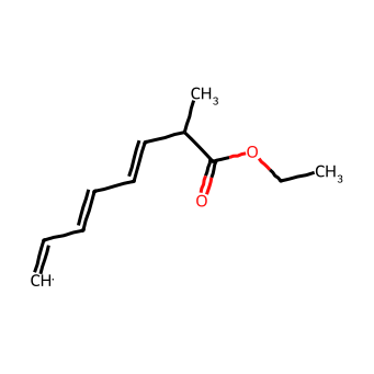 [CH]=CC=CC=CC(C)C(=O)OCC